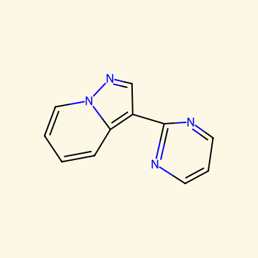 c1cnc(-c2cnn3ccccc23)nc1